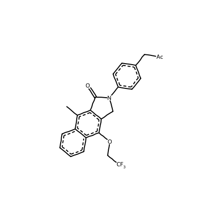 CC(=O)Cc1ccc(N2Cc3c(c(C)c4ccccc4c3OCC(F)(F)F)C2=O)cc1